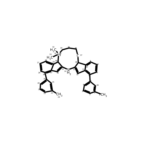 Cc1cccc(-c2cccc3c2C=C2[SiH2]C4=Cc5c(-c6cccc(C)c6)cccc5[CH]4[Hf]([CH3])([CH3])[CH2]CCCC23)c1